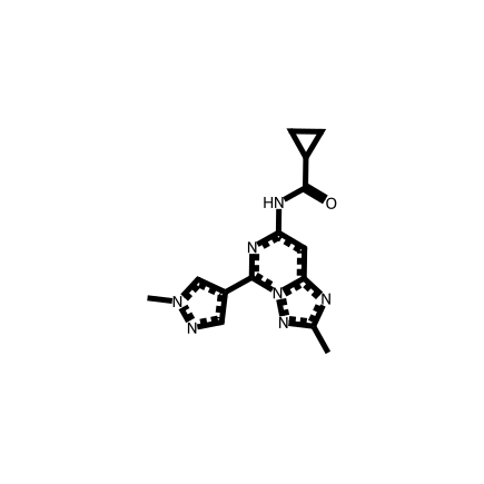 Cc1nc2cc(NC(=O)C3CC3)nc(-c3cnn(C)c3)n2n1